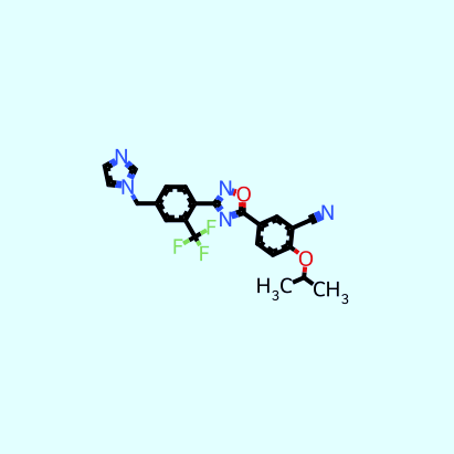 CC(C)Oc1ccc(-c2nc(-c3ccc(Cn4ccnc4)cc3C(F)(F)F)no2)cc1C#N